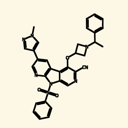 CC(c1ccccc1)N1CC(Oc2c(C#N)ncc3c2c2cc(-c4cnn(C)c4)cnc2n3S(=O)(=O)c2ccccc2)C1